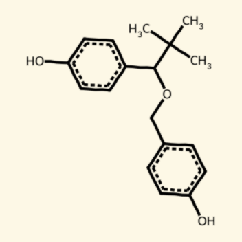 CC(C)(C)C(OCc1ccc(O)cc1)c1ccc(O)cc1